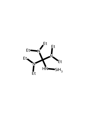 CCN(CC)C(N[SiH3])(N(CC)CC)N(CC)CC